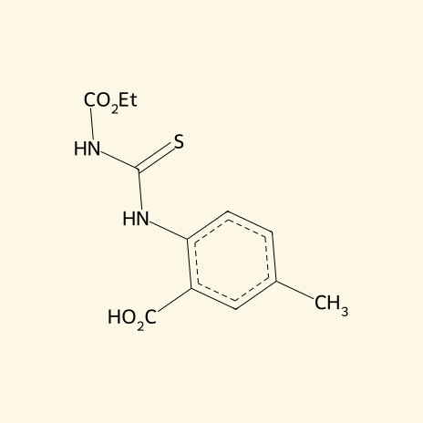 CCOC(=O)NC(=S)Nc1ccc(C)cc1C(=O)O